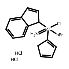 CC[CH2][Zr](=[SiH2])([Cl])([C]1=CC=CC1)[CH]1C=Cc2ccccc21.Cl.Cl